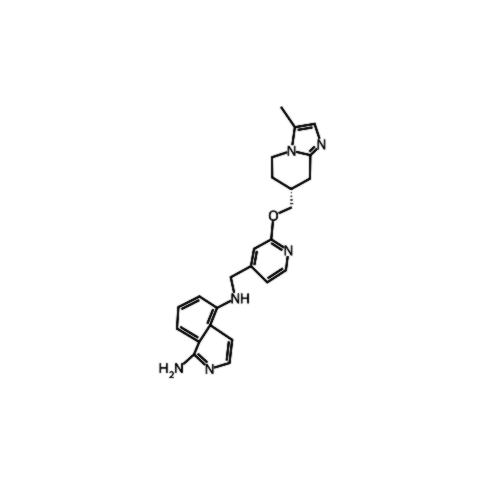 Cc1cnc2n1CC[C@@H](COc1cc(CNc3cccc4c(N)nccc34)ccn1)C2